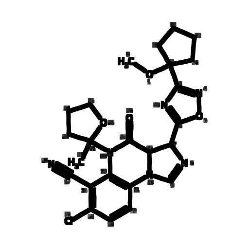 COC1(c2noc(C3N=CN4c5ccc(Cl)c(C#N)c5N(C5(C)CCCO5)C(=O)C34)n2)CCCC1